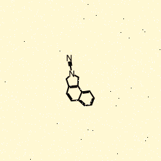 N#CN1Cc2ccc3ccccc3c2C1